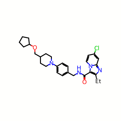 CCc1nc2cc(Cl)ccn2c1C(=O)NCc1ccc(N2CCC(COC3CCCC3)CC2)cc1